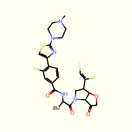 CCC(C)C(NC(=O)c1ccc(-c2csc(N3CCN(C)CC3)n2)c(F)c1)C(=O)N1CC(/C(F)=C/F)C2OCC(=O)C21